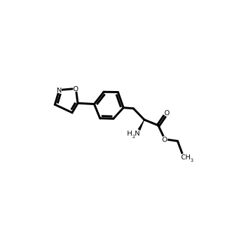 CCOC(=O)[C@@H](N)Cc1ccc(-c2ccno2)cc1